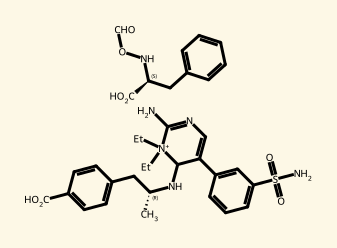 CC[N+]1(CC)C(N)=NC=C(c2cccc(S(N)(=O)=O)c2)C1N[C@H](C)Cc1ccc(C(=O)O)cc1.O=CON[C@@H](Cc1ccccc1)C(=O)O